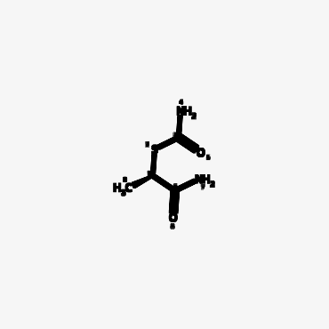 C[C@@H](SC(N)=O)C(N)=O